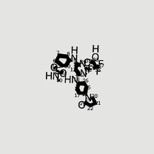 CNS(=O)(=O)c1cccc(Nc2cc(Nc3ccc(N4CCCC4=O)cc3)ncn2)c1.O=C(O)C(F)(F)F